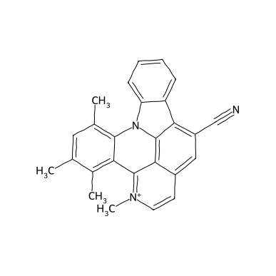 Cc1cc(C)c2c(c1C)c1c3c(cc[n+]1C)cc(C#N)c1c4ccccc4n2c13